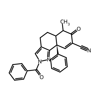 CC1C(=O)C(C#N)=C[C@]2(c3ccccc3)c3nn(C(=O)c4ccccc4)cc3CCC12